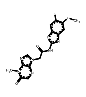 COc1cc2nc(NC(=O)Cn3cnc4c3ncc(=O)n4C)sc2cc1F